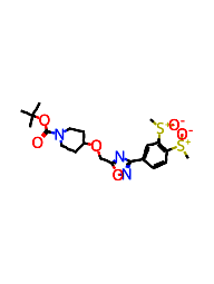 C[S+]([O-])c1ccc(-c2noc(COC3CCN(C(=O)OC(C)(C)C)CC3)n2)cc1[S+](C)[O-]